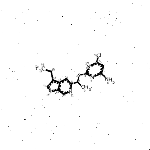 CC(Sc1nc(N)cc(Cl)n1)c1cc2c(CC(F)(F)F)csc2cn1